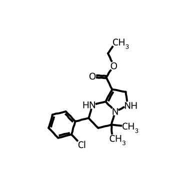 CCOC(=O)C1=C2NC(c3ccccc3Cl)CC(C)(C)N2NC1